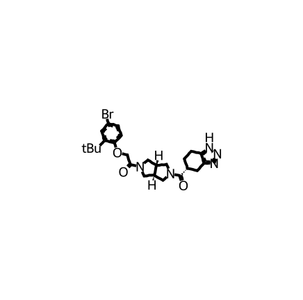 CC(C)(C)c1cc(Br)ccc1OCC(=O)N1C[C@@H]2CN(C(=O)[C@@H]3CCc4[nH]nnc4C3)C[C@H]2C1